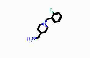 NCC1CCN(Cc2ccccc2F)CC1